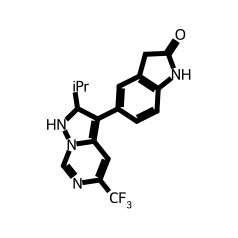 CC(C)C1NN2C=NC(C(F)(F)F)=CC2=C1c1ccc2c(c1)CC(=O)N2